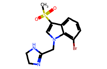 CS(=O)(=O)c1cn(CC2=NCCN2)c2c(Br)cccc12